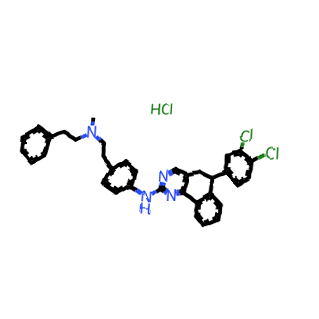 CN(CCc1ccccc1)CCc1ccc(Nc2ncc3c(n2)-c2ccccc2C(c2ccc(Cl)c(Cl)c2)C3)cc1.Cl